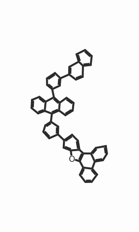 c1cc(-c2ccc3ccccc3c2)cc(-c2c3ccccc3c(-c3cccc(-c4ccc5c(c4)oc4c6ccccc6c6ccccc6c54)c3)c3ccccc23)c1